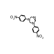 O=[N+]([O-])c1ccc(N2C=NCN(c3ccc([N+](=O)[O-])cc3)C2)cc1